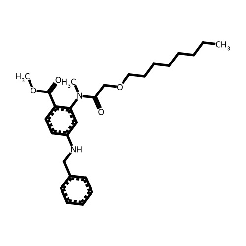 CCCCCCCCOCC(=O)N(C)c1cc(NCc2ccccc2)ccc1C(=O)OC